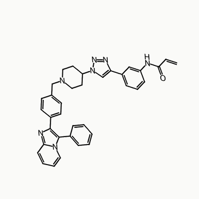 C=CC(=O)Nc1cccc(-c2cn(C3CCN(Cc4ccc(-c5nc6ccccn6c5-c5ccccc5)cc4)CC3)nn2)c1